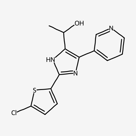 CC(O)c1[nH]c(-c2ccc(Cl)s2)nc1-c1cccnc1